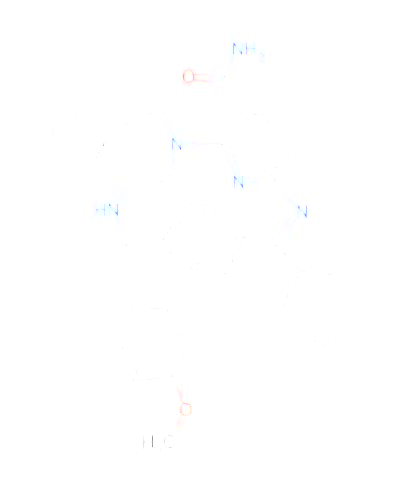 COc1ccc(CCN[C@H]2CN(c3nc(N=C(c4ccccc4)c4ccccc4)ccc3C(N)=O)CCC23CCCC3)cc1